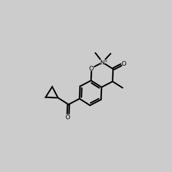 CC1C(=O)[N+](C)(C)Oc2cc(C(=O)C3CC3)ccc21